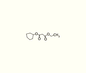 CCOC(=O)CC(=O)OC1CCCCC1